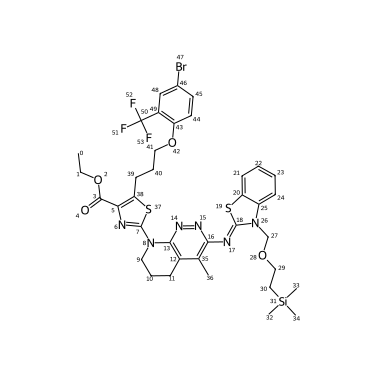 CCOC(=O)c1nc(N2CCCc3c2nnc(/N=c2\sc4ccccc4n2COCC[Si](C)(C)C)c3C)sc1CCCOc1ccc(Br)cc1C(F)(F)F